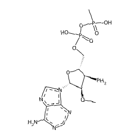 CO[C@@H]1[C@H](P)[C@@H](COP(=O)(O)OP(C)(=O)O)O[C@H]1n1cnc2c(N)ncnc21